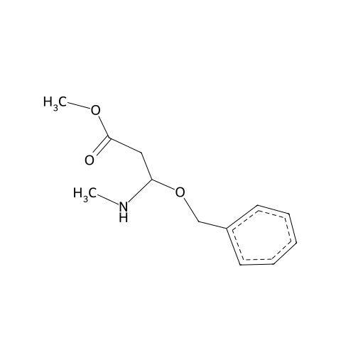 CNC(CC(=O)OC)OCc1ccccc1